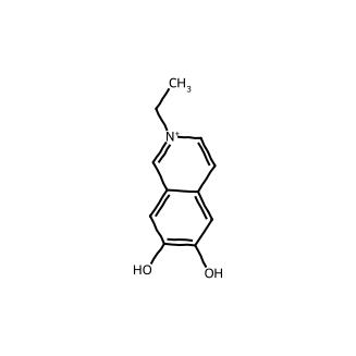 CC[n+]1ccc2cc(O)c(O)cc2c1